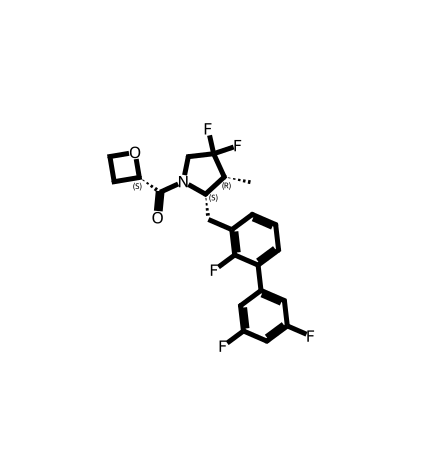 C[C@@H]1[C@H](Cc2cccc(-c3cc(F)cc(F)c3)c2F)N(C(=O)[C@@H]2CCO2)CC1(F)F